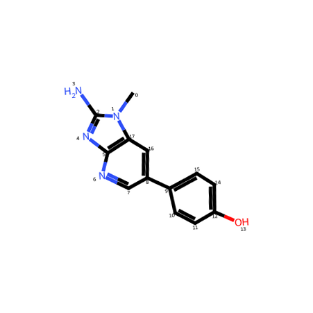 Cn1c(N)nc2ncc(-c3ccc(O)cc3)cc21